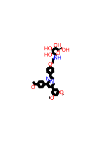 COc1cc(OC)cc(-c2cc(-c3ccc(C(C)=O)cc3)c3nc(-c4ccc(OCCNC5O[C@H](CO)[C@@H](O)[C@H](O)[C@H]5O)cc4)cn3c2)c1